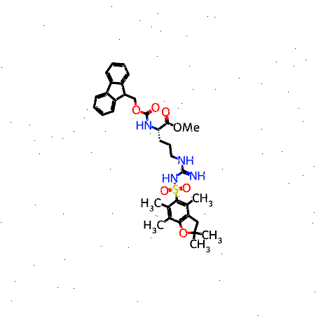 COC(=O)[C@H](CCCNC(=N)NS(=O)(=O)c1c(C)c(C)c2c(c1C)CC(C)(C)O2)NC(=O)OCC1c2ccccc2-c2ccccc21